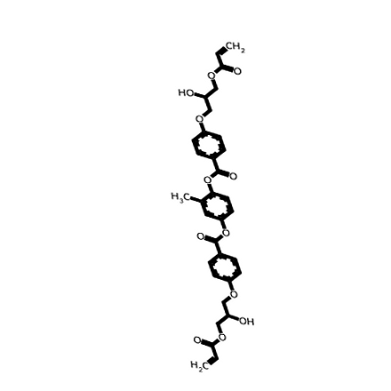 C=CC(=O)OCC(O)COc1ccc(C(=O)Oc2ccc(OC(=O)c3ccc(OCC(O)COC(=O)C=C)cc3)c(C)c2)cc1